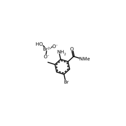 CNC(=O)c1cc(Br)cc(C)c1N.[O-][Br+2]([O-])O